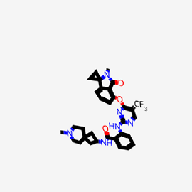 CN1CCC2(CC1)CC(NC(=O)c1ccccc1Nc1ncc(C(F)(F)F)c(Oc3cccc4c3C(=O)N(C)C43CC3)n1)C2